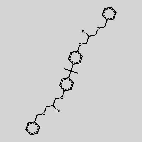 CC(C)(c1ccc(OCC(O)COCc2ccccc2)cc1)c1ccc(OCC(O)COCc2ccccc2)cc1